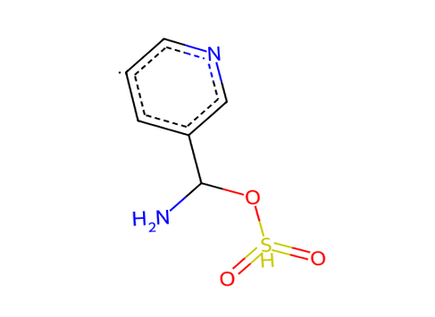 NC(O[SH](=O)=O)c1c[c]cnc1